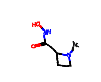 CC(=O)N1CCC1C(=O)NO